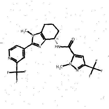 Cn1nc(C(F)(F)F)cc1C(=O)N[C@H]1CCCc2c1nc(-c1ccnc(C(F)(F)F)c1)n2C